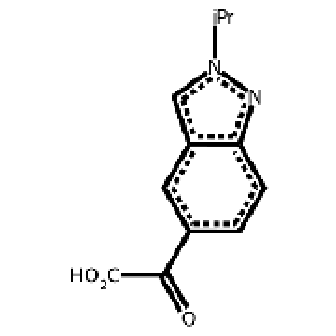 CC(C)n1cc2cc(C(=O)C(=O)O)ccc2n1